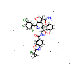 C[C@]1(C(N)=O)COc2c1cc([C@@](O)(CNC(=O)c1ccc3nc(C4(F)CC4)oc3c1)c1ccccc1)nc2-c1cc(Cl)c(F)cc1F